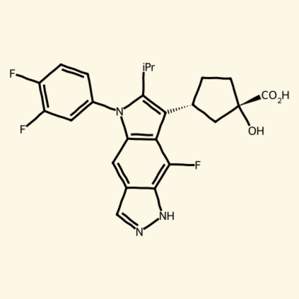 CC(C)c1c([C@@H]2CC[C@@](O)(C(=O)O)C2)c2c(F)c3[nH]ncc3cc2n1-c1ccc(F)c(F)c1